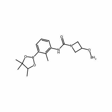 BOC1CN(C(=O)Nc2cccc(B3OC(C)C(C)(C)O3)c2C)C1